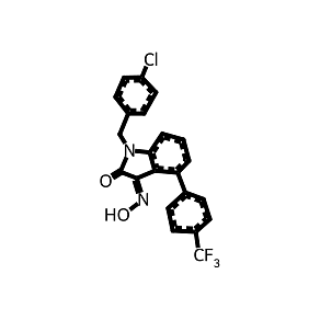 O=C1C(=NO)c2c(-c3ccc(C(F)(F)F)cc3)cccc2N1Cc1ccc(Cl)cc1